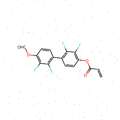 C=CC(=O)Oc1ccc(-c2ccc(OC=O)c(F)c2F)c(F)c1F